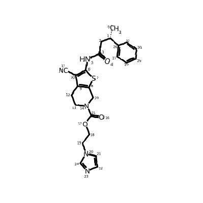 C[C@@H](CC(=O)Nc1sc2c(c1C#N)CCN(C(=O)OCCn1ccnc1)C2)c1ccccc1